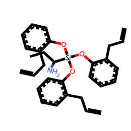 C=CCc1ccccc1O[Si](Oc1ccccc1CC=C)(Oc1ccccc1CC=C)C(N)CC